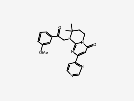 COc1cccc(C(=O)CN2c3nc(-c4ccncn4)cc(=O)n3CCC2(C)C)c1